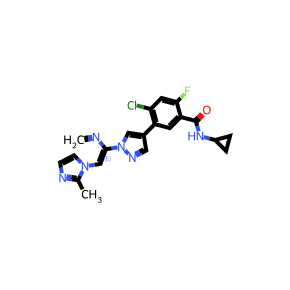 C=N/C(=C\n1ccnc1C)n1cc(-c2cc(C(=O)NC3CC3)c(F)cc2Cl)cn1